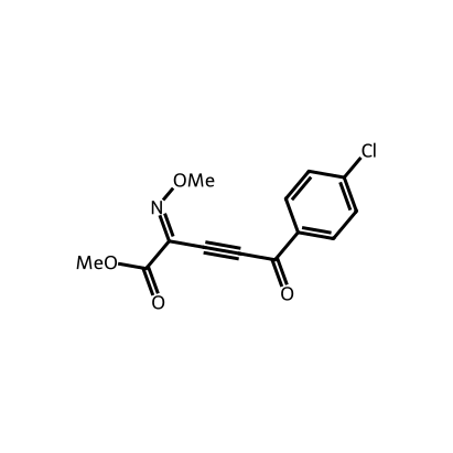 CON=C(C#CC(=O)c1ccc(Cl)cc1)C(=O)OC